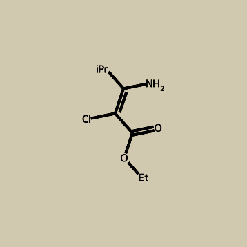 CCOC(=O)C(Cl)=C(N)C(C)C